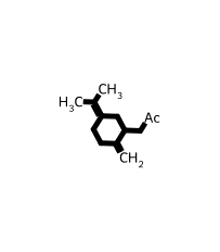 C=C1CCC(=C(C)C)CC1CC(C)=O